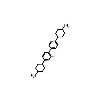 BC1CCC(c2ccc(-c3ccc(C4CCC(B)CC4)cc3F)cc2)CC1